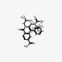 CC(=O)c1ccc2c(=O)n(CC(C)C)c(CN(C(=O)O)C(C)(C)C)c(-c3ccccc3)c2c1